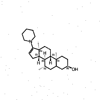 C[C@H]1CC2C[C@H](O)CC[C@]2(C)[C@H]2CC[C@]3(C)C(N4CCCCC4)=CC[C@H]3[C@H]12